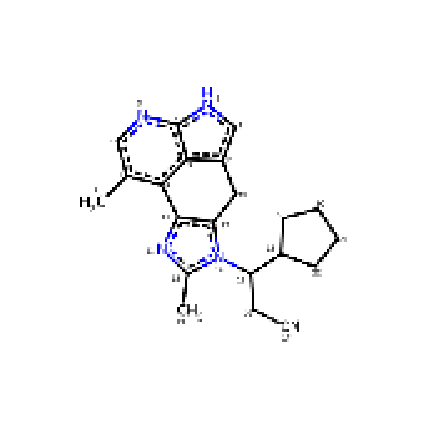 Cc1cnc2[nH]cc3c2c1-c1nc(C)n(C(CC#N)C2CCCC2)c1C3